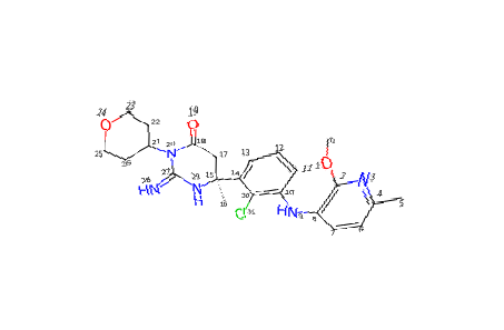 COc1nc(C)ccc1Nc1cccc([C@]2(C)CC(=O)N(C3CCOCC3)C(=N)N2)c1Cl